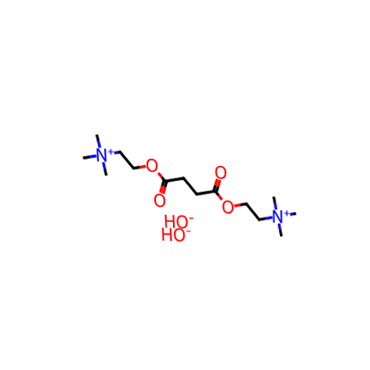 C[N+](C)(C)CCOC(=O)CCC(=O)OCC[N+](C)(C)C.[OH-].[OH-]